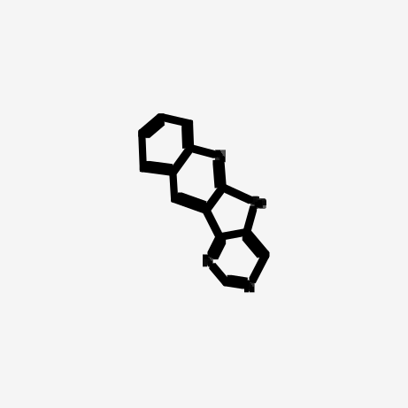 c1ccc2nc3[se]c4cncnc4c3cc2c1